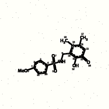 COc1ccc(S(=O)(=O)NCc2c(O)c(=O)cc(C)n2C)cc1